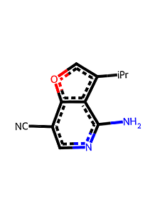 CC(C)c1coc2c(C#N)cnc(N)c12